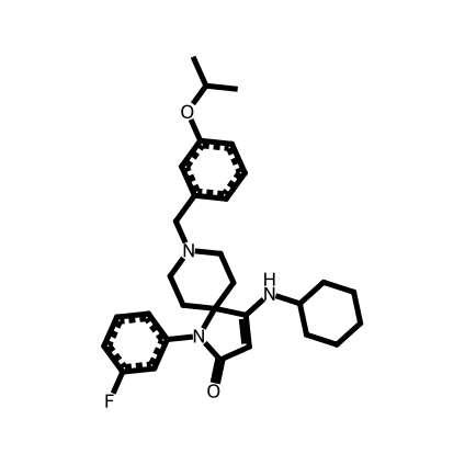 CC(C)Oc1cccc(CN2CCC3(CC2)C(NC2CCCCC2)=CC(=O)N3c2cccc(F)c2)c1